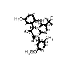 C#CC(=O)Nc1cc(C)ccc1Nc1nc(Nc2cc(OC)ncc2C)ncc1C(F)(F)F